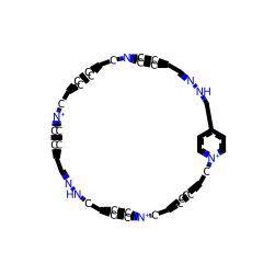 C1=NNCc2cc[n+](cc2)Cc2ccc(cc2)C[n+]2ccc(cc2)CNN=Cc2cc[n+](cc2)Cc2ccc(cc2)C[n+]2ccc1cc2